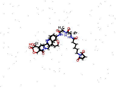 CC[C@@]1(O)C(=O)OCc2c1cc1n(c2=O)Cc2c-1nc1ccc(NC(=O)[C@H](C)NC(=O)[C@@H](NC(=O)CCCCCN3C(=O)C=CC3=O)C(C)C)c3c1c2CCO3